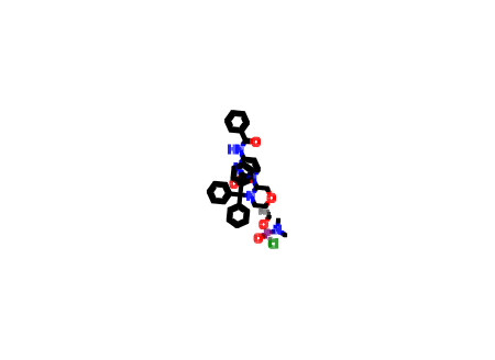 CN(C)P(=O)(Cl)OC[C@@H]1CN(C(c2ccccc2)(c2ccccc2)c2ccccc2)C(n2ccc(NC(=O)c3ccccc3)nc2=O)CO1